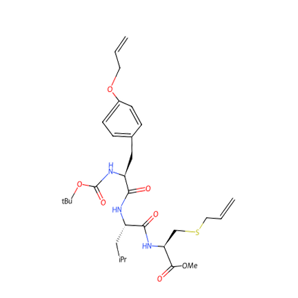 C=CCOc1ccc(C[C@H](NC(=O)OC(C)(C)C)C(=O)N[C@@H](CC(C)C)C(=O)N[C@@H](CSCC=C)C(=O)OC)cc1